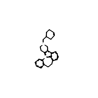 C1=CCC(CN2CCc3c(c4cccc5c4n3-c3ccccc3CC5)C2)CC1.Cl